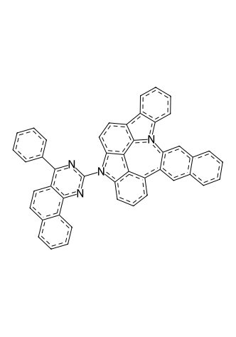 c1ccc(-c2nc(-n3c4cccc5c6cc7ccccc7cc6n6c7ccccc7c7ccc3c(c54)c76)nc3c2ccc2ccccc23)cc1